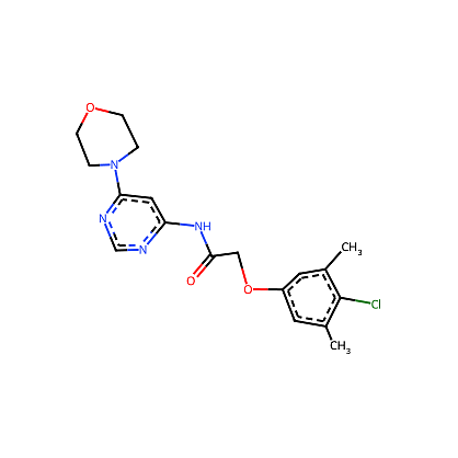 Cc1cc(OCC(=O)Nc2cc(N3CCOCC3)ncn2)cc(C)c1Cl